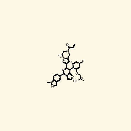 C=CC(=O)N1Cc2cc(-c3nc(-c4ccc5c(cnn5C)c4)c4ccsc4c3-c3c(F)cc(F)cc3OC[C@@H](C)O)nn2[C@@H](C)C1